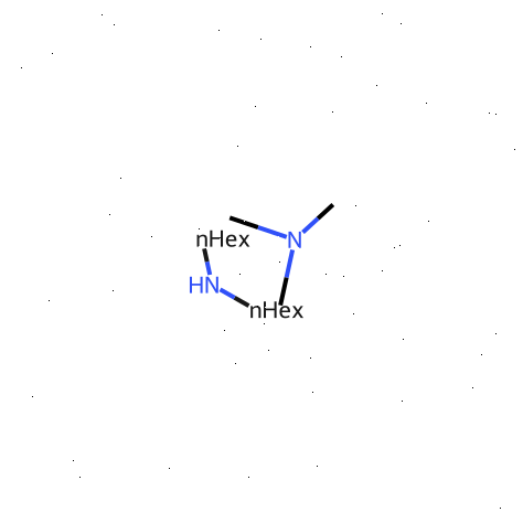 CCCCCCNCCCCCC.CN(C)C